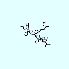 CCCNC(=O)OCC(COC(=O)NCCC(C)C)OCCCC(C)=O